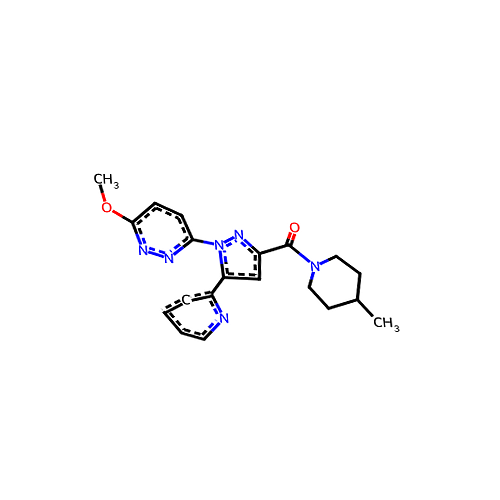 COc1ccc(-n2nc(C(=O)N3CCC(C)CC3)cc2-c2ccccn2)nn1